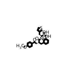 COc1ccc(C(=O)C[C@@H](Cc2ccccc2)C(=O)N[C@@H](Cc2ccsc2)B(O)O)cc1